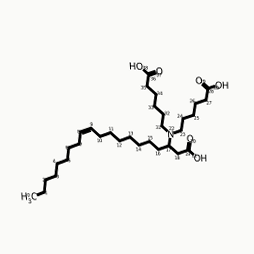 CCCCCCCC/C=C\CCCCCCCC(CC(=O)O)N(CCCCCC(=O)O)CCCCCC(=O)O